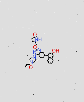 C=CC(=O)N1CCN(c2nc(OCC3CCC(=O)N3)nc3c2CCC(c2cc(O)cc4ccccc24)C3)C(C)C1